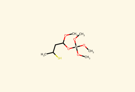 COC(CC(C)S)O[Si](OC)(OC)OC